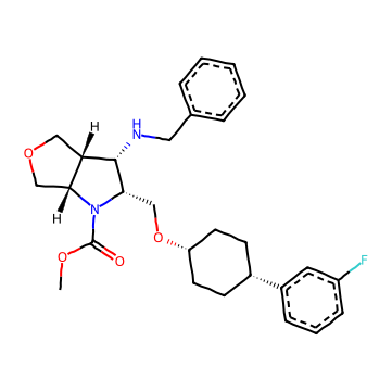 COC(=O)N1[C@@H]2COC[C@@H]2[C@H](NCc2ccccc2)[C@@H]1CO[C@H]1CC[C@@H](c2cccc(F)c2)CC1